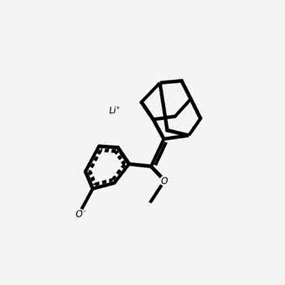 COC(=C1C2CC3CC(C2)CC1C3)c1cccc([O-])c1.[Li+]